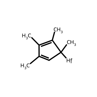 CC1=C[C](C)([Hf])C(C)=C1C